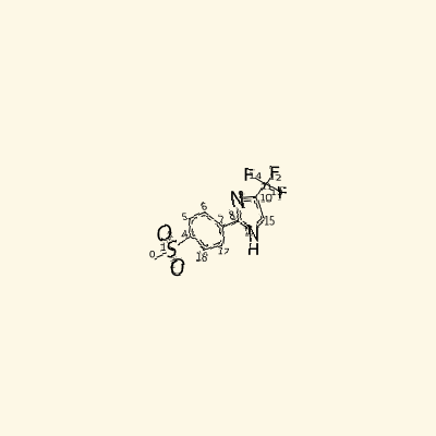 CS(=O)(=O)c1ccc(-c2nc(C(F)(F)F)c[nH]2)cc1